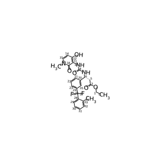 CCOC(=O)C[C@@H](NC(=O)Nc1c(O)ccn(C)c1=O)c1cccc(C(F)(F)c2ccccc2C)c1